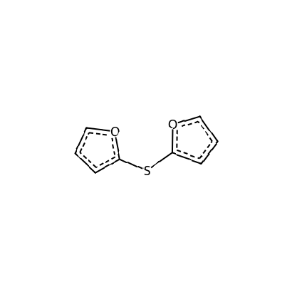 c1coc(Sc2ccco2)c1